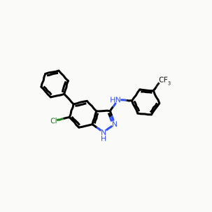 FC(F)(F)c1cccc(Nc2n[nH]c3cc(Cl)c(-c4ccccc4)cc23)c1